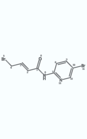 O=C(/C=C/CBr)Nc1ccc(Br)cn1